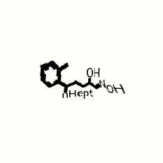 CCCCCCCC(CCC(O)/C=N/O)c1ccccc1C